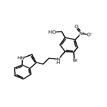 O=[N+]([O-])c1cc(Br)c(NCCc2c[nH]c3ccccc23)cc1CO